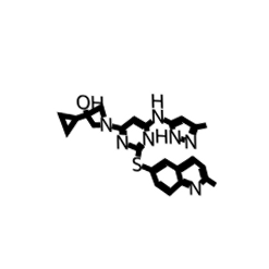 Cc1cc(Nc2cc(N3CC(O)(C4CC4)C3)nc(Sc3ccc4nc(C)ccc4c3)n2)[nH]n1